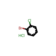 Cl.Clc1ccccc1Br